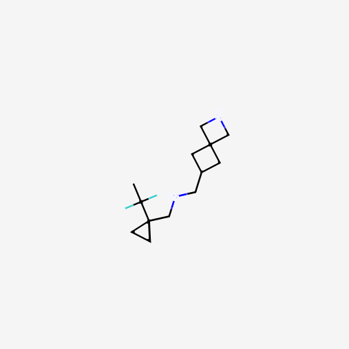 CC(F)(F)C1(CNCC2CC3(CNC3)C2)CC1